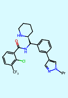 CC(C)n1cc(-c2cccc(C(NC(=O)c3cccc(C(F)(F)F)c3Cl)[C@@H]3CCCCN3)c2)cn1